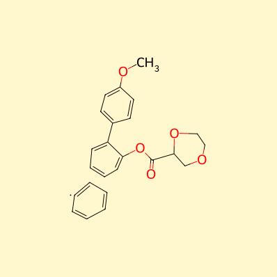 COc1ccc(-c2ccccc2OC(=O)C2COCCO2)cc1.[c]1ccccc1